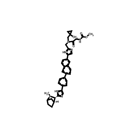 COC(=O)NCC(=O)N(Cc1ncc(-c2ccc3cc(-c4ccc(-c5cnc([C@@H]6[C@H]7CCC(C7)N6C)[nH]5)cc4)ccc3c2)[nH]1)CC1(C)CC1